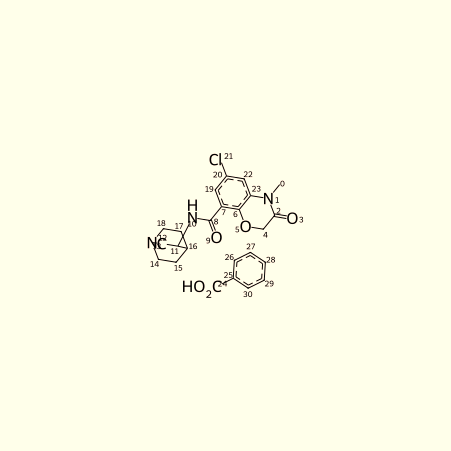 CN1C(=O)COc2c(C(=O)NC3CN4CCC3CC4)cc(Cl)cc21.O=C(O)c1ccccc1